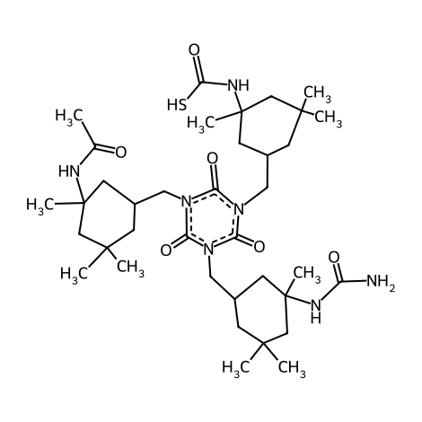 CC(=O)NC1(C)CC(Cn2c(=O)n(CC3CC(C)(C)CC(C)(NC(N)=O)C3)c(=O)n(CC3CC(C)(C)CC(C)(NC(=O)S)C3)c2=O)CC(C)(C)C1